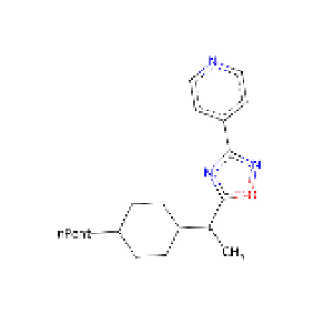 CCCCCC1CCC([C](C)c2nc(-c3ccncc3)no2)CC1